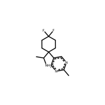 Cc1ncc(C2(C(C)N)CCC(F)(F)CC2)cn1